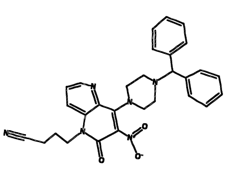 N#CCCCn1c(=O)c([N+](=O)[O-])c(N2CCN(C(c3ccccc3)c3ccccc3)CC2)c2ncccc21